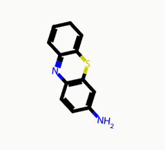 Nc1ccc2c(c1)SC1=CCC=CC1=N2